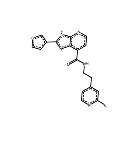 O=C(NCCc1ccnc(Cl)c1)c1ccnc2[nH]c(-c3ccoc3)nc12